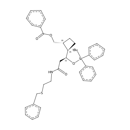 CC(C)(C)[Si](O[C@@H](CC(=O)NCCSCc1ccccc1)[C@@H]1CC[C@H]1COC(=O)c1ccccc1)(c1ccccc1)c1ccccc1